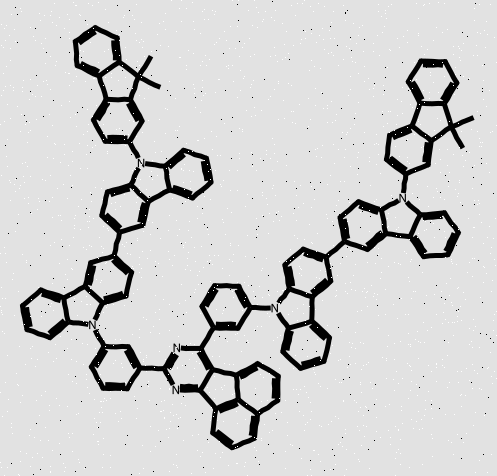 CC1(C)c2ccccc2-c2ccc(-n3c4ccccc4c4cc(-c5ccc6c(c5)c5ccccc5n6-c5cccc(-c6nc(-c7cccc(-n8c9ccccc9c9cc(-c%10ccc%11c(c%10)c%10ccccc%10n%11-c%10ccc%11c(c%10)C(C)(C)c%10ccccc%10-%11)ccc98)c7)c7c(n6)-c6cccc8cccc-7c68)c5)ccc43)cc21